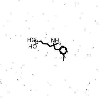 CC(N)(CCCCB(O)O)Cc1cccc(F)c1